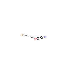 N#Cc1ccc(-c2ccc(OCCCCCCCCCCCBr)cc2)cc1